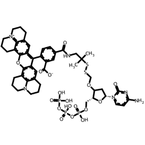 CC(C)(CNC(=O)c1ccc(C2=c3cc4c5c(c3Oc3c2cc2c6c3CCCN6CCC2)CCC[N+]=5CCC4)c(C(=O)[O-])c1)SSCOC1C[C@H](n2ccc(N)nc2=O)O[C@@H]1COP(=O)(O)OP(=O)(O)OP(=O)(O)O